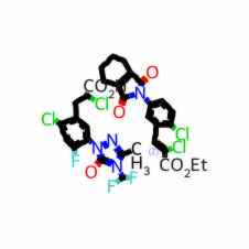 CCOC(=O)/C(Cl)=C/c1cc(N2C(=O)C3=C(CCCC3)C2=O)ccc1Cl.Cc1nn(-c2cc(CC(Cl)C(=O)O)c(Cl)cc2F)c(=O)n1C(F)F